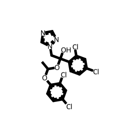 CC(Oc1ccc(Cl)cc1Cl)OC(O)(Cn1cncn1)c1ccc(Cl)cc1Cl